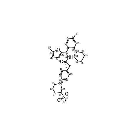 Cc1ccc(C(NC(=O)Cc2cnc(N3CCCC(S(C)(=O)=O)C3)nc2)c2ccc(C)o2)c(N2CCCCC2)c1